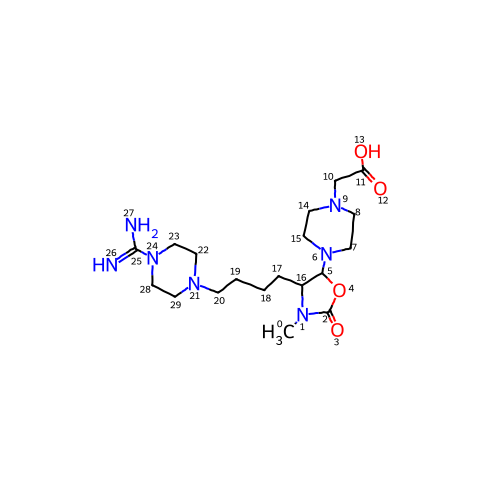 CN1C(=O)OC(N2CCN(CC(=O)O)CC2)C1CCCCN1CCN(C(=N)N)CC1